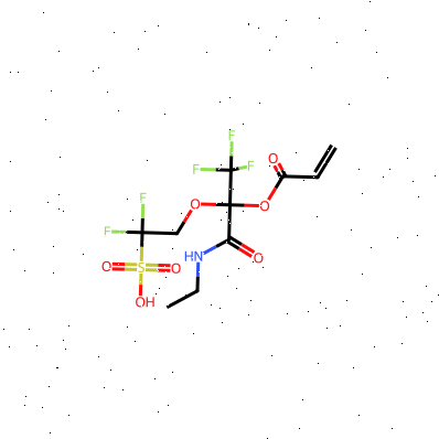 C=CC(=O)OC(OCC(F)(F)S(=O)(=O)O)(C(=O)NCC)C(F)(F)F